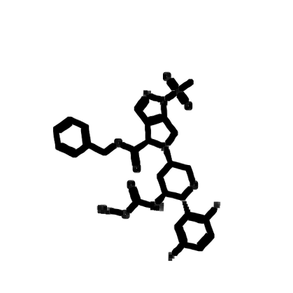 CC(C)(C)OC(=O)N[C@H]1C[C@@H](N2Cc3c(cnn3S(C)(=O)=O)[C@@H]2C(=O)OCc2ccccc2)CO[C@@H]1c1cc(F)ccc1F